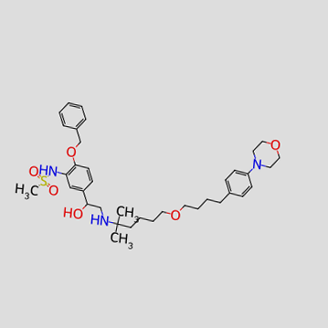 CC(C)(CCCCOCCCCc1ccc(N2CCOCC2)cc1)NCC(O)c1ccc(OCc2ccccc2)c(NS(C)(=O)=O)c1